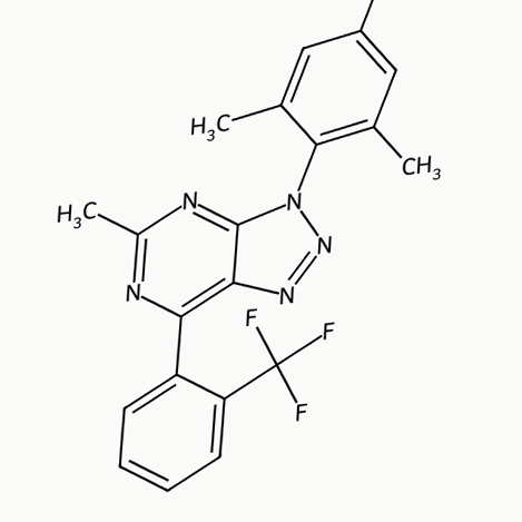 Cc1cc(C)c(-n2nnc3c(-c4ccccc4C(F)(F)F)nc(C)nc32)c(C)c1